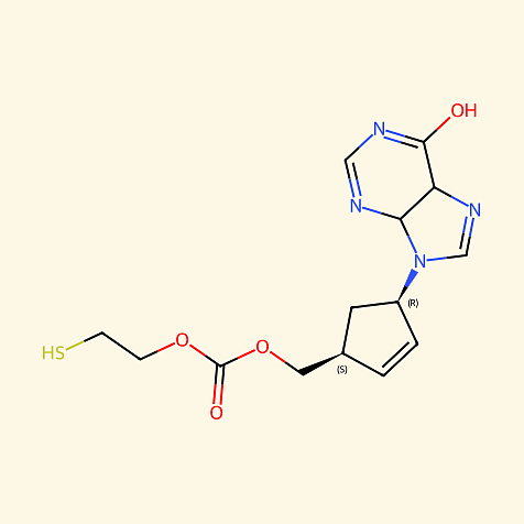 O=C(OCCS)OC[C@@H]1C=C[C@H](N2C=NC3C(O)=NC=NC32)C1